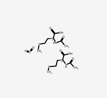 CSCC[C@H](NC(C)=O)C(=O)O.CSCC[C@H](NC(C)=O)C(=O)O.O=S=O